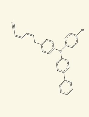 C#C/C=C\C=C/Cc1ccc(N(c2ccc(Br)cc2)c2ccc(-c3ccccc3)cc2)cc1